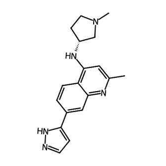 Cc1cc(N[C@@H]2CCN(C)C2)c2ccc(-c3ccn[nH]3)cc2n1